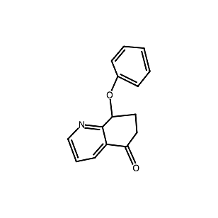 O=C1CCC(Oc2ccccc2)c2ncccc21